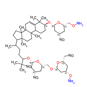 CC(CCC(O[C@H]1C[C@@H](N=O)C[C@@H](CO[C@H]2C[C@@H](ON)C[C@@H](CN=O)O2)O1)C(C)(C)N=O)C1CCC2(C)C3CC=C4C(CC[C@H](O[C@H]5C[C@@H](N=O)C[C@@H](CON)O5)C4(C)C)C3(C)CCC12C